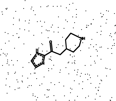 O=C(CC1CCNCC1)c1ncc[nH]1